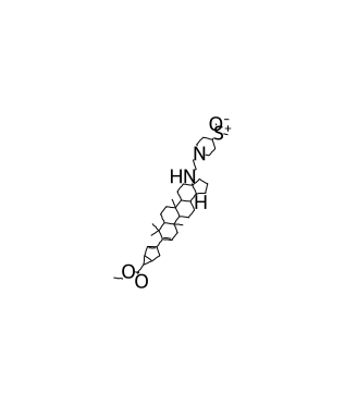 CCOC(=O)C1C2C=C(C3=CCC4(C)C(CCC5(C)C6CCC7(NCCN8CCC([S+](C)[O-])CC8)CCC[C@@H]7C6CCC54)C3(C)C)CC21